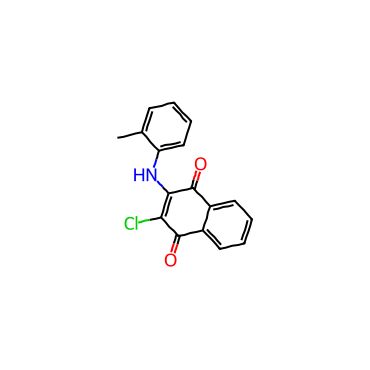 Cc1ccccc1NC1=C(Cl)C(=O)c2ccccc2C1=O